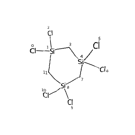 Cl[Si]1(Cl)C[Si](Cl)(Cl)C[Si](Cl)(Cl)C1